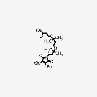 CC(C)(CCOC(C)(C)CCN1C(=O)C(C(C)(C)C)=C(C(C)(C)C)C1=O)OCCC(=O)C(C)(C)C